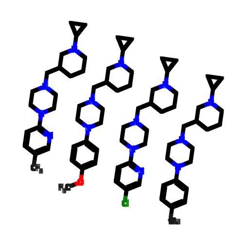 CC(C)(C)c1ccc(N2CCN(CC3CCCN(C4CC4)C3)CC2)cc1.Clc1ccc(N2CCN(CC3CCCN(C4CC4)C3)CC2)nc1.FC(F)(F)Oc1ccc(N2CCN(CC3CCCN(C4CC4)C3)CC2)cc1.FC(F)(F)c1ccc(N2CCN(CC3CCCN(C4CC4)C3)CC2)nc1